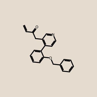 C=CC(=O)Cc1cnccc1-c1ccccc1OCc1ccccc1